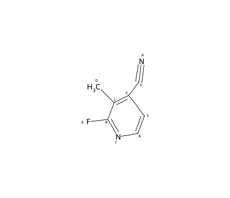 Cc1c(C#N)ccnc1F